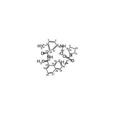 Cc1ccc(NC(=O)[C@@H]2CCCN2S(C)(=O)=O)cc1C(=O)N[C@H](C)c1cccc2ccccc12